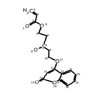 C=CC(=O)OCC[S+]([O-])CCOc1cc(=O)oc2ccccc12